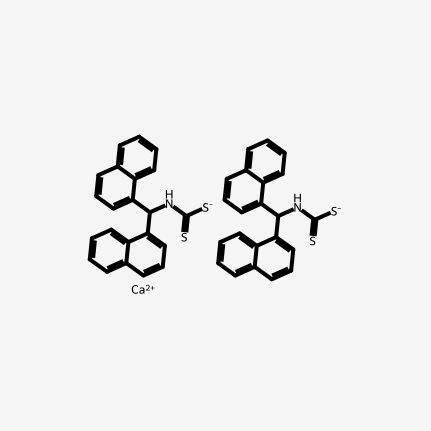 S=C([S-])NC(c1cccc2ccccc12)c1cccc2ccccc12.S=C([S-])NC(c1cccc2ccccc12)c1cccc2ccccc12.[Ca+2]